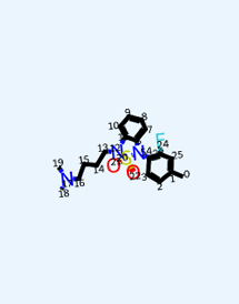 Cc1ccc(N2c3ccccc3N(CCCCN(C)C)S2(=O)=O)c(F)c1